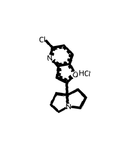 Cl.Clc1ccc2oc(C34CCCN3CCC4)cc2n1